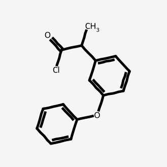 CC(C(=O)Cl)c1cccc(Oc2ccccc2)c1